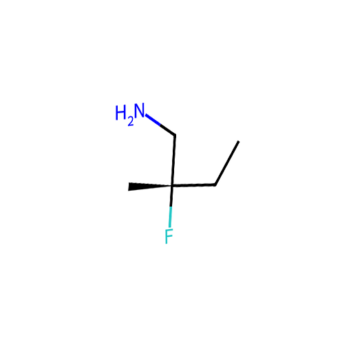 CC[C@](C)(F)CN